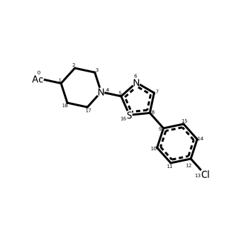 CC(=O)C1CCN(c2ncc(-c3ccc(Cl)cc3)s2)CC1